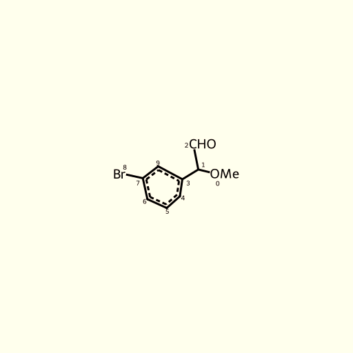 COC(C=O)c1cccc(Br)c1